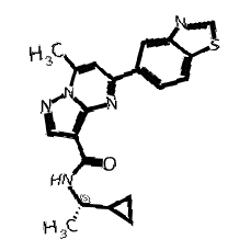 Cc1cc(-c2ccc3scnc3c2)nc2c(C(=O)N[C@@H](C)C3CC3)cnn12